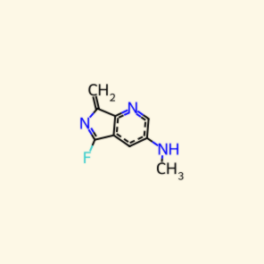 C=C1N=C(F)c2cc(NC)cnc21